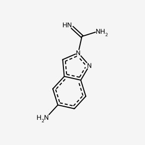 N=C(N)n1cc2cc(N)ccc2n1